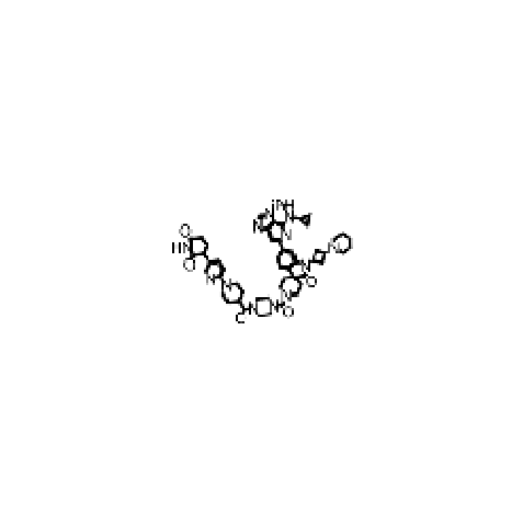 CC(C)n1cnc2cc(-c3ccc4c(c3)N([C@H]3C[C@@H](N5CCCCC5)C3)C(=O)C43CCN(C(=O)N4CCN(C(=O)C5CCN(c6ccc(C7CCC(=O)NC7=O)cn6)CC5)CC4)CC3)nc(NC3CC3)c21